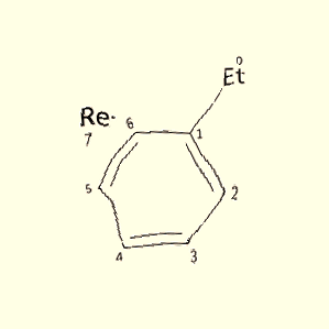 CCc1ccccc1.[Re]